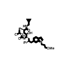 COCCCn1ccc2ccc(C[C@H](C[C@H](NC(=O)OC(C)Cl)[C@H](O)C[C@H](C(=O)NCC3CC3)C(C)C)C(C)C)cc21